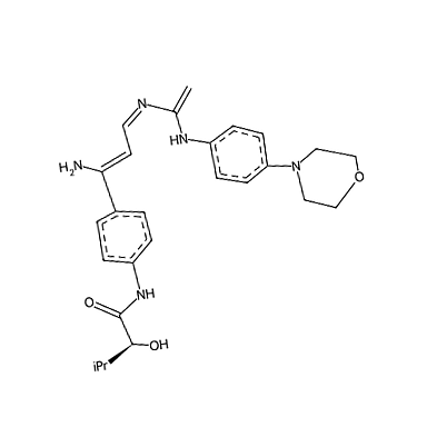 C=C(/N=C\C=C(/N)c1ccc(NC(=O)[C@@H](O)C(C)C)cc1)Nc1ccc(N2CCOCC2)cc1